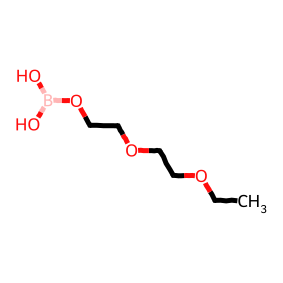 CCOCCOCCOB(O)O